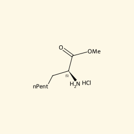 CCCCCC[C@H](N)C(=O)OC.Cl